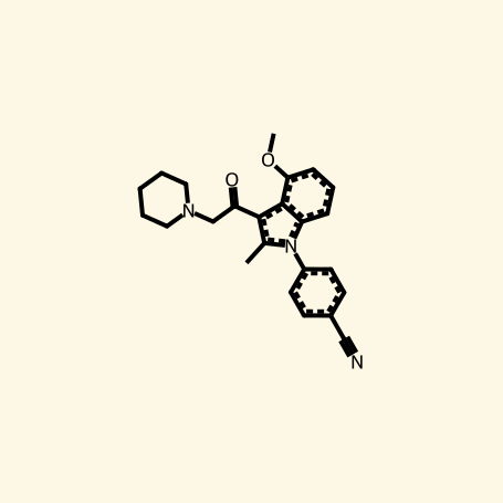 COc1cccc2c1c(C(=O)CN1CCCCC1)c(C)n2-c1ccc(C#N)cc1